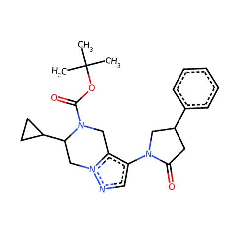 CC(C)(C)OC(=O)N1Cc2c(N3CC(c4ccccc4)CC3=O)cnn2CC1C1CC1